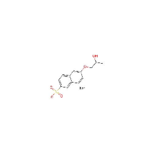 CC(O)COc1ccc2cc(S(=O)(=O)[O-])ccc2c1.[Na+]